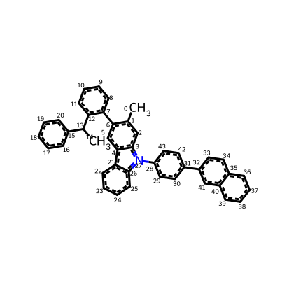 Cc1cc2c(cc1-c1ccccc1C(C)c1ccccc1)c1ccccc1n2-c1ccc(-c2ccc3ccccc3c2)cc1